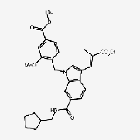 CCOC(=O)/C(C)=C/c1cn(Cc2ccc(C(=O)OC(C)(C)C)cc2OC)c2cc(C(=O)NCC3CCCC3)ccc12